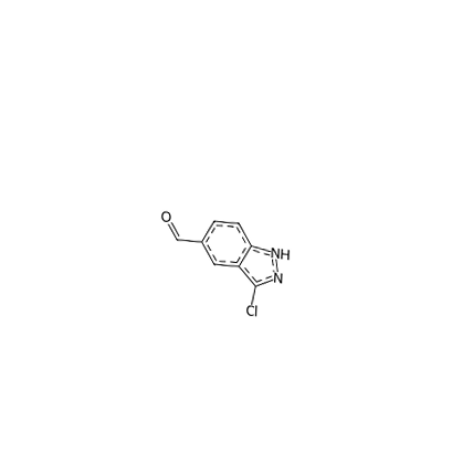 O=Cc1ccc2[nH]nc(Cl)c2c1